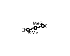 COc1cc(Cl)ccc1/C=C/c1ccc(/C=C/c2ccc(Cl)cc2OC)cc1